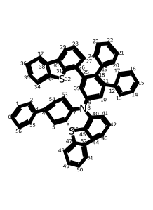 c1ccc(-c2ccc(N(c3cc(-c4ccccc4)c(-c4ccccc4)c(-c4cccc5c4sc4ccccc45)c3)c3cccc4c3sc3ccccc34)cc2)cc1